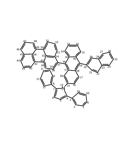 c1ccc(-c2ccc(-c3ccccc3)n2-c2ccc3c(-c4ccc5ccccc5c4)c4ccccc4c(-c4ccc5c6cccc7cccc(c8cccc4c85)c76)c3c2)cc1